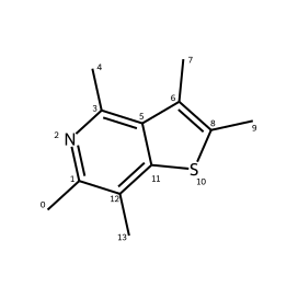 Cc1nc(C)c2c(C)c(C)sc2c1C